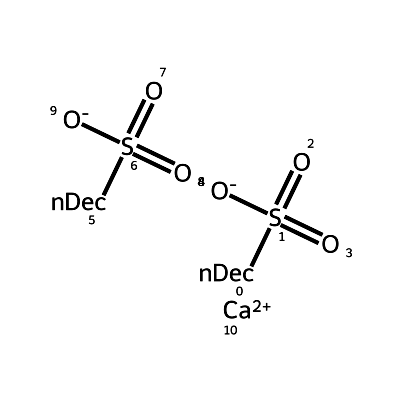 CCCCCCCCCCS(=O)(=O)[O-].CCCCCCCCCCS(=O)(=O)[O-].[Ca+2]